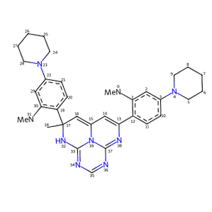 CNc1cc(N2CCCCC2)ccc1C1=CC2=CC(C)(c3ccc(N4CCCCC4)cc3NC)NC3=NC=NC(=N1)N23